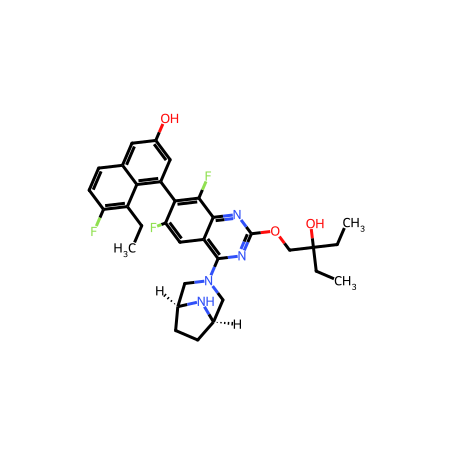 CCc1c(F)ccc2cc(O)cc(-c3c(F)cc4c(N5C[C@H]6CC[C@@H](C5)N6)nc(OCC(O)(CC)CC)nc4c3F)c12